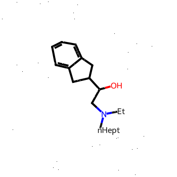 CCCCCCCN(CC)CC(O)C1Cc2ccccc2C1